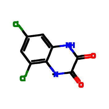 O=C1[N]c2c(Cl)cc(Cl)cc2NC1=O